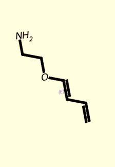 C=C/C=C/OCCN